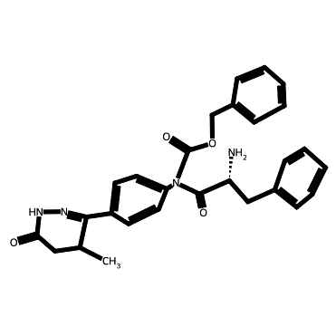 CC1CC(=O)NN=C1c1ccc(N(C(=O)OCc2ccccc2)C(=O)[C@H](N)Cc2ccccc2)cc1